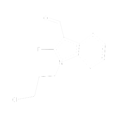 O=Cc1c(F)n(CCCCl)c2ccccc12